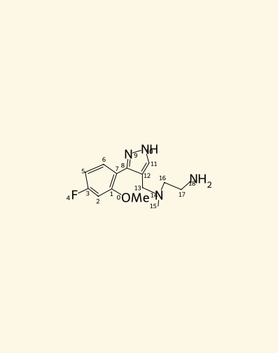 COc1cc(F)ccc1-c1n[nH]cc1CN(C)CCN